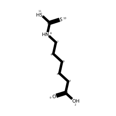 O=C(O)CCCCCNC(=S)S